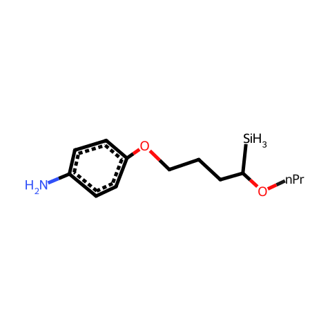 CCCOC([SiH3])CCCOc1ccc(N)cc1